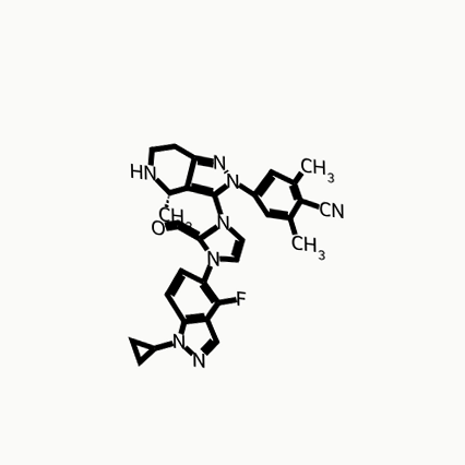 Cc1cc(-n2nc3c(c2N2C=CN(c4ccc5c(cnn5C5CC5)c4F)C2=C=O)[C@H](C)NCC3)cc(C)c1C#N